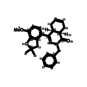 COc1ccc(C2=NN(Cc3ccccc3)C(=O)[C@@H]3CC=CC[C@H]23)c2c1OC(C)(C)C2